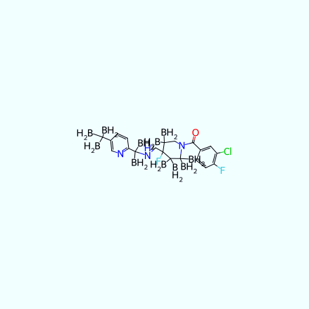 BC(B)(B)c1ccc(C(B)(B)NCC2(F)C(B)(B)CN(C(=O)c3ccc(F)c(Cl)c3)C(B)(B)C2(B)B)nc1